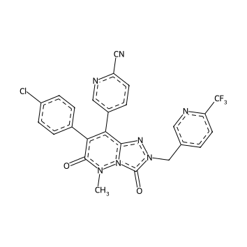 Cn1c(=O)c(-c2ccc(Cl)cc2)c(-c2ccc(C#N)nc2)c2nn(Cc3ccc(C(F)(F)F)nc3)c(=O)n21